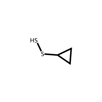 SSC1CC1